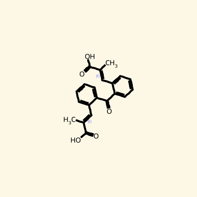 C/C(=C\c1ccccc1C(=O)c1ccccc1/C=C(\C)C(=O)O)C(=O)O